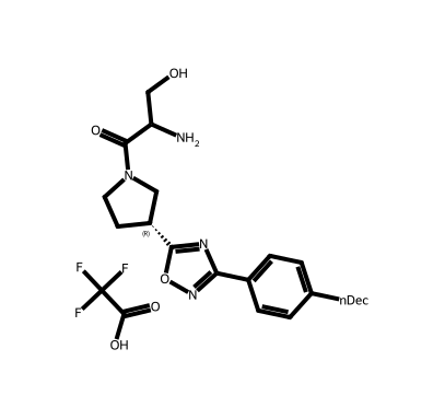 CCCCCCCCCCc1ccc(-c2noc([C@@H]3CCN(C(=O)C(N)CO)C3)n2)cc1.O=C(O)C(F)(F)F